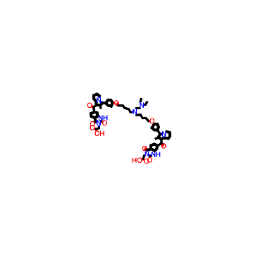 CCN(CC)CCN(CCCCCOc1ccc(-c2c(C)c(C(=O)c3ccc4c(=O)n(CC(=O)O)c(=O)[nH]c4c3)c3ccccn23)cc1)CCCCCOc1ccc(-c2c(C)c(C(=O)c3ccc4c(=O)n(CC(=O)O)c(=O)[nH]c4c3)c3ccccn23)cc1